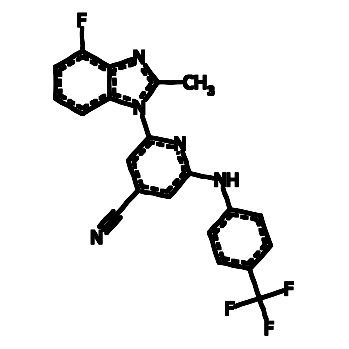 Cc1nc2c(F)cccc2n1-c1cc(C#N)cc(Nc2ccc(C(F)(F)F)cc2)n1